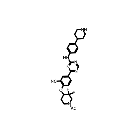 CC(=O)N1CCC(Oc2ccc(-c3ncnc(Nc4ccc(C5CCNCC5)cc4)n3)cc2C#N)C(F)(F)C1